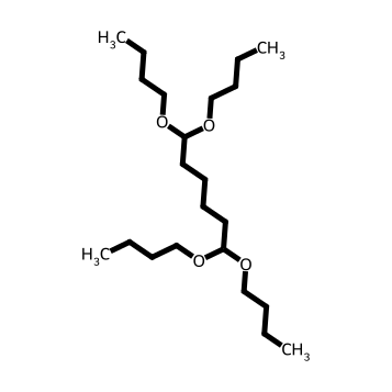 CCCCOC(CCCCC(OCCCC)OCCCC)OCCCC